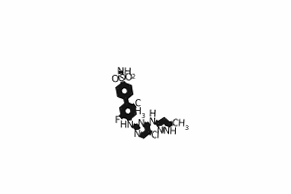 Cc1cc(Nc2nc(Nc3cc(C)c(-c4ccc(S(N)(=O)=O)cc4)cc3F)ncc2Cl)n[nH]1